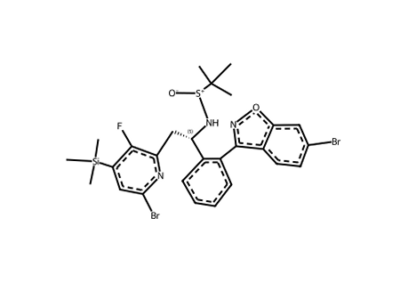 CC(C)(C)[S+]([O-])N[C@@H](Cc1nc(Br)cc([Si](C)(C)C)c1F)c1ccccc1-c1noc2cc(Br)ccc12